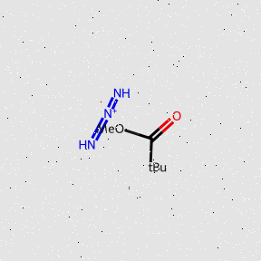 COC(=O)C(C)(C)C.N=[N+]=N